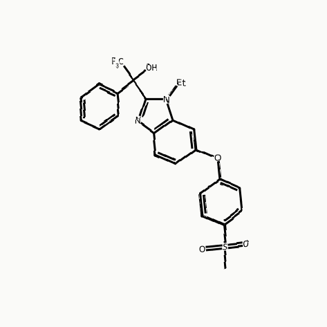 CCn1c(C(O)(c2ccccc2)C(F)(F)F)nc2ccc(Oc3ccc(S(C)(=O)=O)cc3)cc21